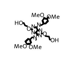 COc1ccc(CN(C)c2nc(OCCCO)nc3c(N(C)Cc4ccc(OC)c(OC)c4)nc(OCCCO)nc23)cc1OC